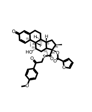 COc1ccc(C(=O)CSC(=O)[C@@]2(OC(=O)c3ccco3)[C@H](C)C[C@H]3[C@@H]4CCC5=CC(=O)C=C[C@]5(C)[C@@]4(F)[C@@H](O)C[C@@]32C)cc1